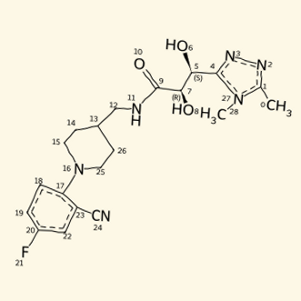 Cc1nnc([C@H](O)[C@@H](O)C(=O)NCC2CCN(c3ccc(F)cc3C#N)CC2)n1C